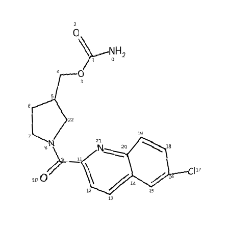 NC(=O)OCC1CCN(C(=O)c2ccc3cc(Cl)ccc3n2)C1